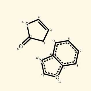 O=C1CC=CS1.c1ccc2ocnc2c1